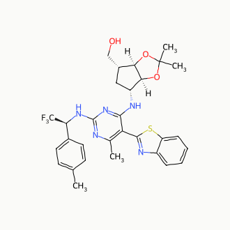 Cc1ccc([C@H](Nc2nc(C)c(-c3nc4ccccc4s3)c(N[C@@H]3C[C@H](CO)[C@H]4OC(C)(C)O[C@H]43)n2)C(F)(F)F)cc1